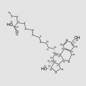 CCCC(CCCCCCCCC[C@H]1C[C@@]2(C)C(CC[C@@H]2O)C2CCc3cc(O)ccc3C21)C(=O)O